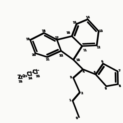 CCCCC(C1=CC=CC1)C1c2ccccc2-c2ccccc21.[Cl-].[Cl-].[Zr+2]